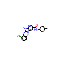 CC1CCC(NC(=O)c2cnc3c(c2)nc(Nc2c(F)cccc2Cl)n3C)CC1